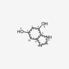 Oc1cc(O)c2[nH]cnc2c1